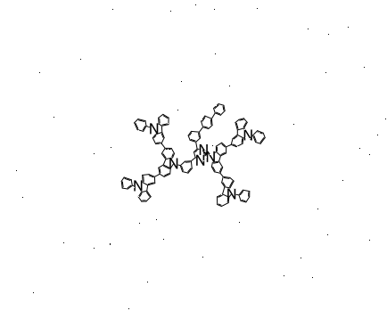 c1ccc(-c2ccc(-c3cccc(-c4cc(-c5cccc(-n6c7ccc(-c8ccc9c(c8)c8ccccc8n9-c8ccccc8)cc7c7cc(-c8ccc9c(c8)c8ccccc8n9-c8ccccc8)ccc76)c5)nc(-n5c6ccc(-c7ccc8c(c7)c7ccccc7n8-c7ccccc7)cc6c6cc(-c7ccc8c(c7)c7ccccc7n8-c7ccccc7)ccc65)n4)c3)cc2)cc1